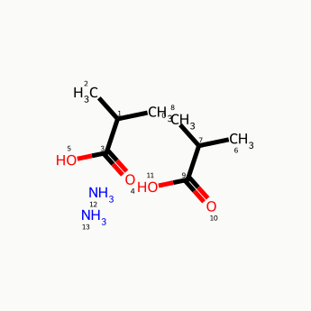 CC(C)C(=O)O.CC(C)C(=O)O.N.N